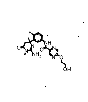 CN1C(=O)CC(C)(c2cc(NC(=O)c3cnc(OCCO)cn3)ccc2F)N=C1N